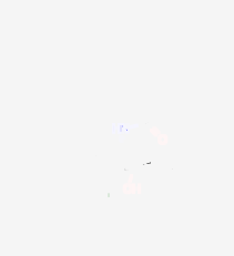 O=C(N[C@@H](c1ccccc1Br)[C@H](O)C(=O)O)c1ccccc1